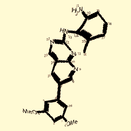 COc1cc(OC)cc(-c2cnc3nc(Nc4c(C)cccc4N)ncc3c2)c1